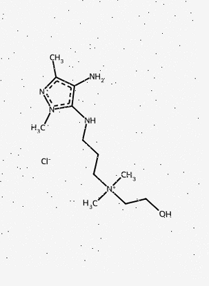 Cc1nn(C)c(NCCC[N+](C)(C)CCO)c1N.[Cl-]